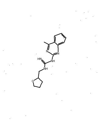 Cc1nc(NC(=N)NCC2CCCO2)nc2ccccc12